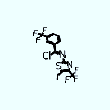 FC(F)(F)c1cccc(/C(Cl)=N/c2nc(C(F)(F)F)c(I)s2)c1